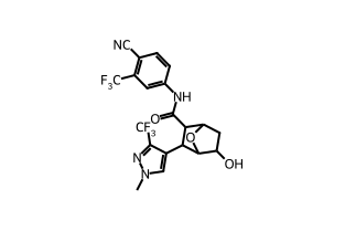 Cn1cc(C2C3OC(CC3O)C2C(=O)Nc2ccc(C#N)c(C(F)(F)F)c2)c(C(F)(F)F)n1